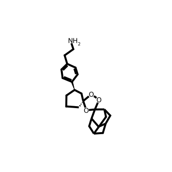 NCCc1ccc([C@@H]2CCC[C@]3(C2)OOC2(O3)C3CC4CC(C3)CC2C4)cc1